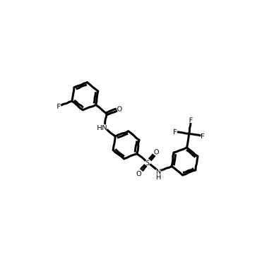 O=C(Nc1ccc(S(=O)(=O)Nc2cccc(C(F)(F)F)c2)cc1)c1cccc(F)c1